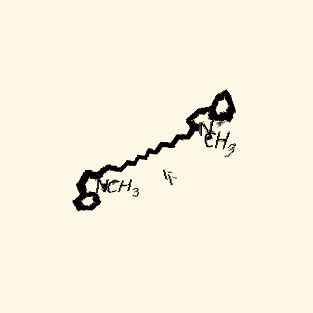 C[n+]1c(CCCCCCCCCCCCc2ccc3ccccc3[n+]2C)ccc2ccccc21.[I-].[I-]